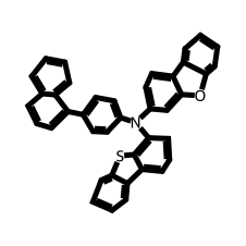 c1ccc2c(-c3ccc(N(c4ccc5c(c4)oc4ccccc45)c4cccc5c4sc4ccccc45)cc3)cccc2c1